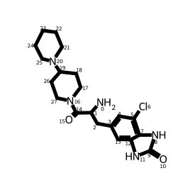 NC(Cc1cc(Cl)c2[nH]c(=O)[nH]c2c1)C(=O)N1CCC(N2CCCCC2)CC1